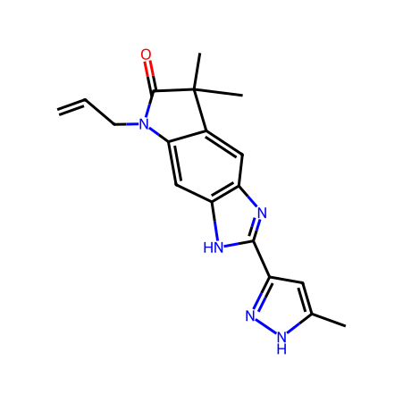 C=CCN1C(=O)C(C)(C)c2cc3nc(-c4cc(C)[nH]n4)[nH]c3cc21